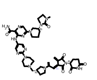 C=C1C(=O)N([C@@H]2CCC(=O)NC2=O)C(=O)/C1=C/C(=C)N1CC[C@H](CN2CCN(c3ncc(Nc4nc(N5CCC[C@@H](N6CCN(C)C6=O)C5)cnc4C(N)=O)cn3)CC2)C1